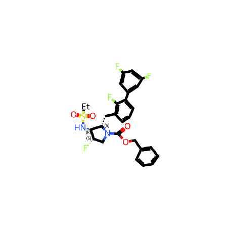 CCS(=O)(=O)N[C@H]1[C@@H](F)CN(C(=O)OCc2ccccc2)[C@H]1Cc1cccc(-c2cc(F)cc(F)c2)c1F